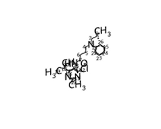 CCCN(CCCC(=O)Nc1c(Cl)nc(C)nc1C(C)C)c1ccccc1